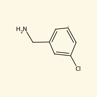 NCc1c[c]cc(Cl)c1